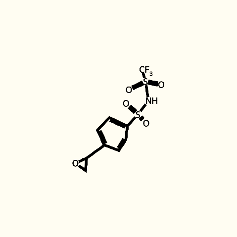 O=S(=O)(NS(=O)(=O)C(F)(F)F)c1ccc(C2CO2)cc1